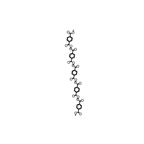 COC(=O)c1ccc(C(=O)OOC(=O)c2ccc(C(=O)OOC(=O)c3ccc(C(=O)OOC(=O)c4ccc(C(=O)OOC(=O)c5ccc(C(=O)OC)cc5)cc4)cc3)cc2)cc1